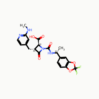 CNc1cc(C[C@H]2C(=O)N(C(=O)N[C@H](C)c3ccc4c(c3)OC(F)(F)O4)[C@@H]2C(=O)O)ccn1